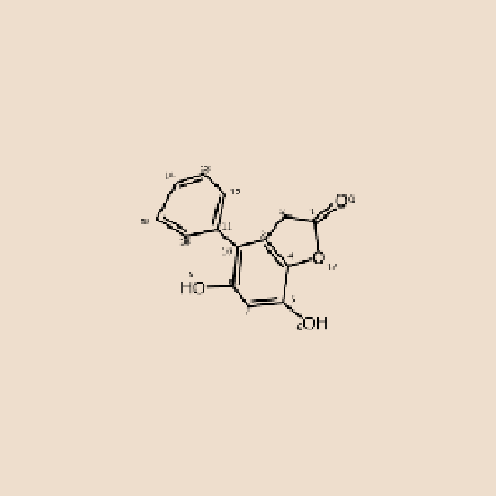 O=C1Cc2c(c(O)cc(O)c2-c2ccccc2)O1